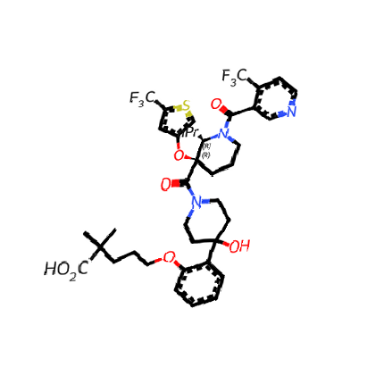 CCC[C@H]1N(C(=O)c2cnccc2C(F)(F)F)CCC[C@]1(Oc1csc(C(F)(F)F)c1)C(=O)N1CCC(O)(c2ccccc2OCCCC(C)(C)C(=O)O)CC1